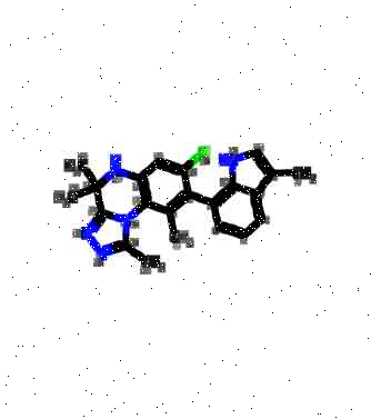 Cc1c(-c2cccc3c(C)c[nH]c23)c(Cl)cc2c1-n1c(C)nnc1C(C)(C)N2